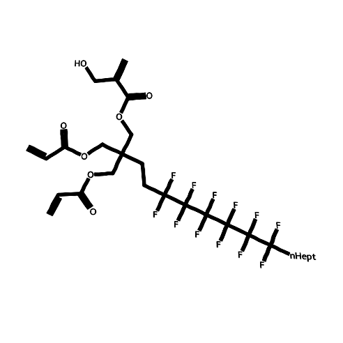 C=CC(=O)OCC(CCC(F)(F)C(F)(F)C(F)(F)C(F)(F)C(F)(F)C(F)(F)CCCCCCC)(COC(=O)C=C)COC(=O)C(=C)CO